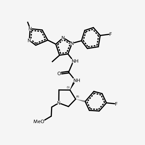 COCCN1C[C@@H](NC(=O)Nc2c(C)c(-c3cnn(C)c3)nn2-c2ccc(F)cc2)[C@H](c2ccc(F)cc2)C1